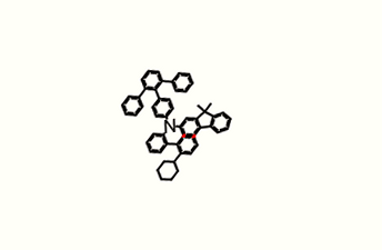 CC1(C)c2ccccc2-c2ccc(N(c3ccc(-c4c(-c5ccccc5)cccc4-c4ccccc4)cc3)c3ccccc3-c3ccccc3C3CCCCC3)cc21